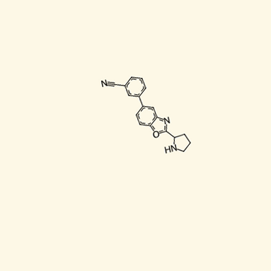 N#Cc1cccc(-c2ccc3oc(C4CCCN4)nc3c2)c1